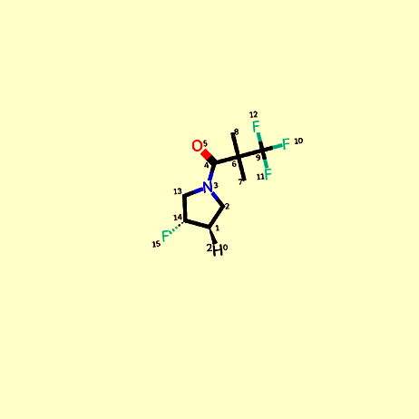 [2H][C@@H]1CN(C(=O)C(C)(C)C(F)(F)F)C[C@H]1F